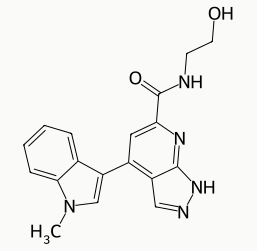 Cn1cc(-c2cc(C(=O)NCCO)nc3[nH]ncc23)c2ccccc21